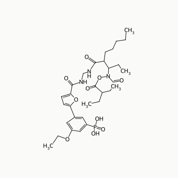 CCCCCC(C(=O)NCNC(=O)c1ccc(-c2cc(OCC)cc(P(=O)(O)O)c2)o1)C(CC)N(C=O)OC(=O)C(CC)CC